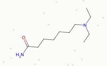 CCN(CC)CCCCCCC(N)=O